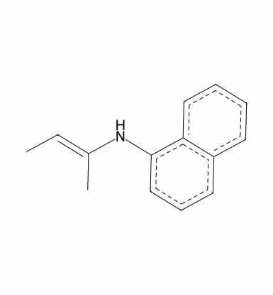 C/C=C(\C)Nc1cccc2ccccc12